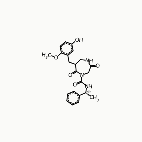 COc1ccc(O)cc1CC1CNC(=O)CN(C(=O)N[C@@H](C)c2ccccc2)C1=O